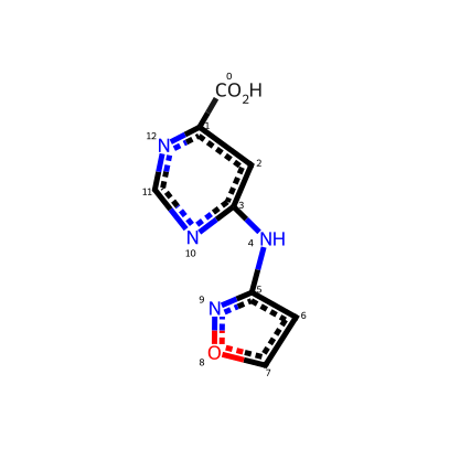 O=C(O)c1cc(Nc2ccon2)ncn1